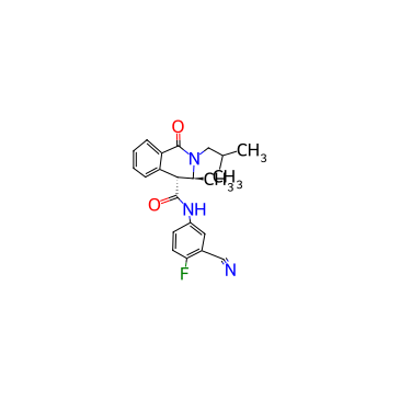 CC(C)CN1C(=O)c2ccccc2[C@@H](C(=O)Nc2ccc(F)c(C#N)c2)[C@@H]1C